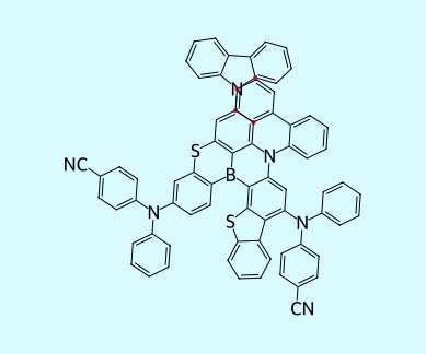 N#Cc1ccc(N(c2ccccc2)c2ccc3c(c2)Sc2cc(-n4c5ccccc5c5ccccc54)cc4c2B3c2c(cc(N(c3ccccc3)c3ccc(C#N)cc3)c3c2sc2ccccc23)N4c2ccccc2-c2ccccc2)cc1